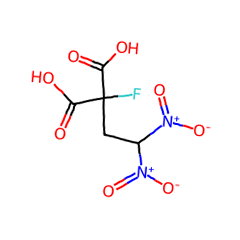 O=C(O)C(F)(CC([N+](=O)[O-])[N+](=O)[O-])C(=O)O